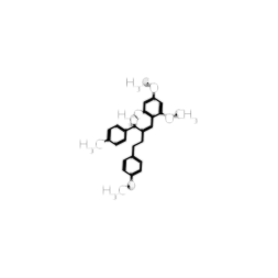 COc1ccc(CC/C(=C/c2c(C)cc(OC)cc2OC)C(=O)c2ccc(C)cc2)cc1